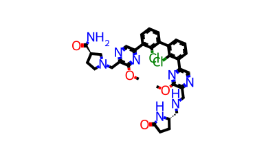 COc1nc(-c2cccc(-c3cccc(-c4cnc(CN5CC[C@@H](C(N)=O)C5)c(OC)n4)c3Cl)c2Cl)cnc1CNC[C@@H]1CCC(=O)N1